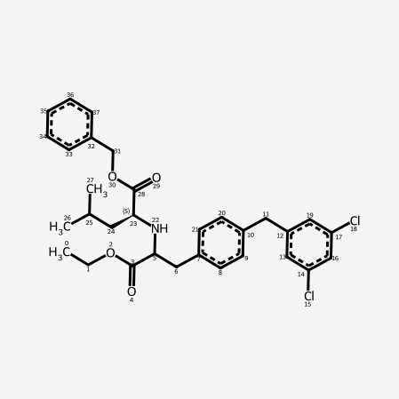 CCOC(=O)C(Cc1ccc(Cc2cc(Cl)cc(Cl)c2)cc1)N[C@@H](CC(C)C)C(=O)OCc1ccccc1